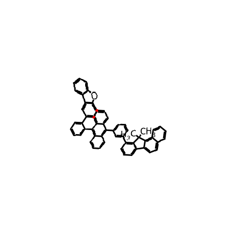 CC1(C)c2c(-c3cccc(-c4c5ccccc5c(-c5ccccc5-c5ccc6oc7ccccc7c6c5)c5ccccc45)c3)cccc2-c2ccc3ccccc3c21